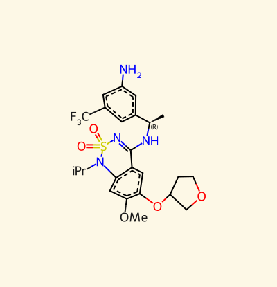 COc1cc2c(cc1OC1CCOC1)C(N[C@H](C)c1cc(N)cc(C(F)(F)F)c1)=NS(=O)(=O)N2C(C)C